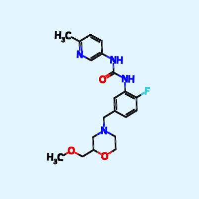 COCC1CN(Cc2ccc(F)c(NC(=O)Nc3ccc(C)nc3)c2)CCO1